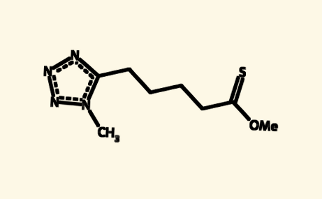 COC(=S)CCCCc1nnnn1C